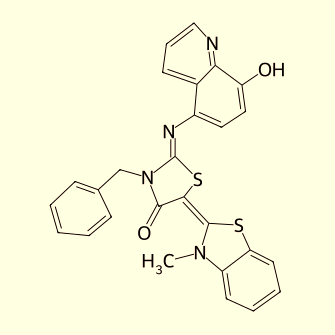 CN1/C(=C2/S/C(=N\c3ccc(O)c4ncccc34)N(Cc3ccccc3)C2=O)Sc2ccccc21